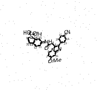 COc1ccn2c(CC(=O)Nc3ccc4c(c3)S(O)(O)C=C4)c(-c3ccc(C#N)cc3)nc2c1